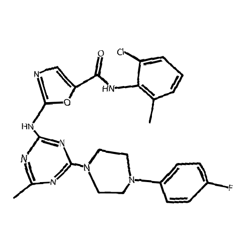 Cc1nc(Nc2ncc(C(=O)Nc3c(C)cccc3Cl)o2)nc(N2CCN(c3ccc(F)cc3)CC2)n1